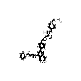 CCN1CCC(CNC(=O)COCc2ccc(-c3cc(NCCCN4CCCCC4)c4cnccc4n3)cc2)CC1